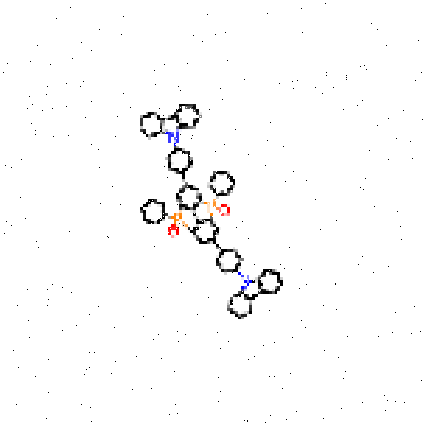 O=P1(c2ccccc2)c2cc(-c3ccc(-n4c5ccccc5c5ccccc54)cc3)cc3c2-c2c1cc(-c1ccc(-n4c5ccccc5c5ccccc54)cc1)cc2P3(=O)c1ccccc1